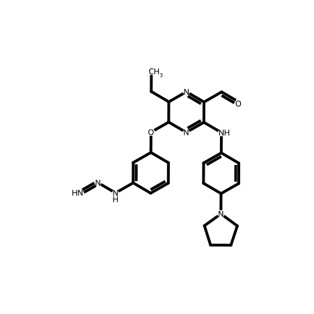 CCC1N=C(C=O)C(NC2=CCC(N3CCCC3)C=C2)=NC1OC1C=C(NN=N)C=CC1